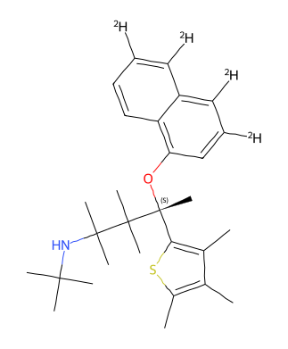 [2H]c1ccc2c(O[C@](C)(c3sc(C)c(C)c3C)C(C)(C)C(C)(C)NC(C)(C)C)cc([2H])c([2H])c2c1[2H]